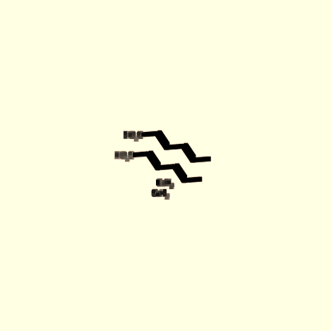 C/C=C/C=C/C(=O)O.C/C=C/C=C/C(=O)O.[CaH2].[CaH2]